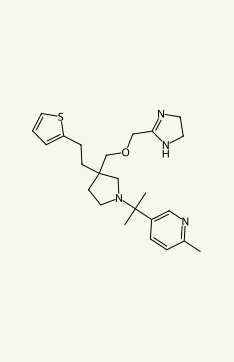 Cc1ccc(C(C)(C)N2CCC(CCc3cccs3)(COCC3=NCCN3)C2)cn1